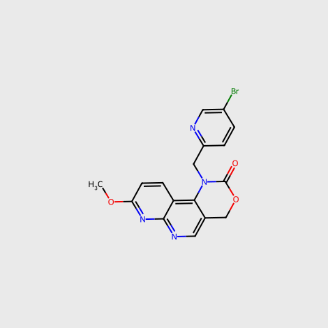 COc1ccc2c3c(cnc2n1)COC(=O)N3Cc1ccc(Br)cn1